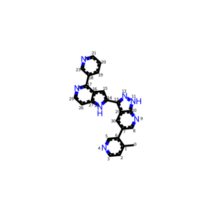 Cc1ccncc1-c1cnc2[nH]nc(-c3cc4c(-c5cccnc5)nccc4[nH]3)c2c1